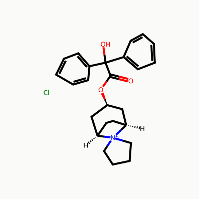 O=C(O[C@@H]1C[C@H]2CC[C@@H](C1)[N+]21CCCC1)C(O)(c1ccccc1)c1ccccc1.[Cl-]